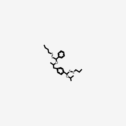 CCCCSSC(OC(C)Cc1ccc(C(OC(C)C)SSCCC)cc1)c1ccccc1